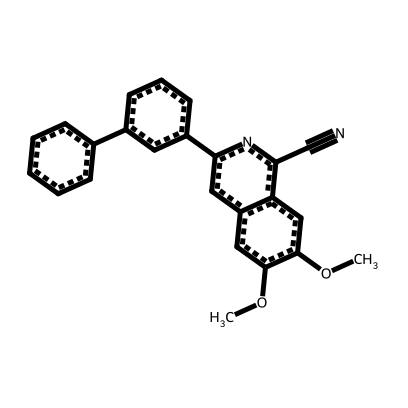 COc1cc2cc(-c3cccc(-c4ccccc4)c3)nc(C#N)c2cc1OC